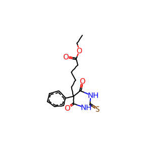 CCOC(=O)CCCCC1(c2ccccc2)C(=O)NC(=S)NC1=O